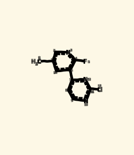 Cc1cnc(F)c(-c2ccnc(Cl)n2)c1